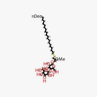 CCCCCCCCCCCCCCCCCCCCCCCCCCCCCCSCC(CO[C@@H]1OC(CO)[C@@H](O[C@@H]2OC(CO)[C@H](O)[C@H](O)C2O)[C@H](O)C1O)OC